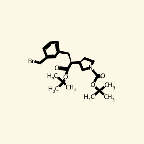 CC(C)(C)OC(=O)[C@@H](Cc1cccc(CBr)c1)[C@H]1CCN(C(=O)OC(C)(C)C)C1